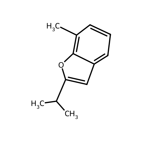 Cc1cccc2cc(C(C)C)oc12